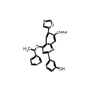 COc1cc2nc(-c3cccc(O)c3)cc(OC(C)c3ccccc3)c2cc1-c1cnco1